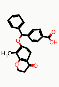 Cc1c(OC(c2ccccc2)c2ccc(C(=O)O)cc2)ccc2c1OCCC2=O